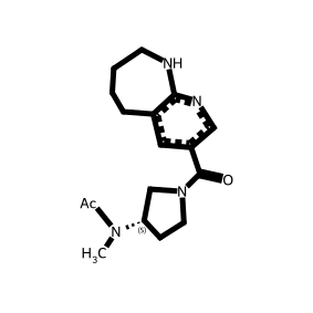 CC(=O)N(C)[C@H]1CCN(C(=O)c2cnc3c(c2)CCCCN3)C1